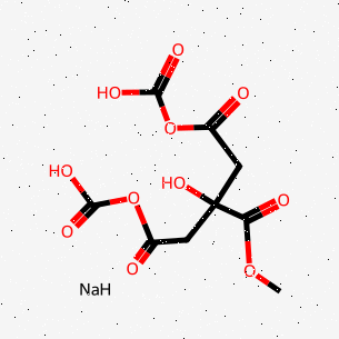 COC(=O)C(O)(CC(=O)OC(=O)O)CC(=O)OC(=O)O.[NaH]